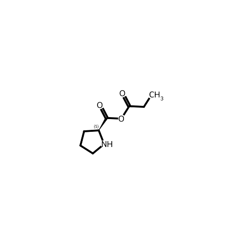 CCC(=O)OC(=O)[C@@H]1CCCN1